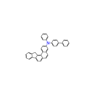 c1ccc(-c2ccc(N(c3ccccc3)c3ccc4c(ccc5ccc6c(c54)Cc4ccccc4-6)c3)cc2)cc1